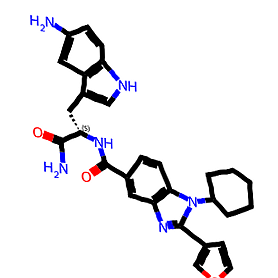 NC(=O)[C@H](Cc1c[nH]c2ccc(N)cc12)NC(=O)c1ccc2c(c1)nc(-c1ccoc1)n2C1CCCCC1